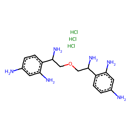 Cl.Cl.Cl.Nc1ccc(C(N)COCC(N)c2ccc(N)cc2N)c(N)c1